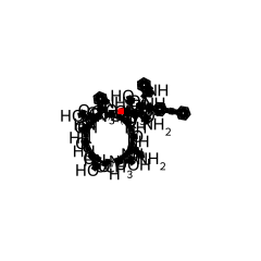 CC(CC(=O)O)C1NC(=O)[C@@H](CO)NC(=O)CNC(=O)[C@H](CC(=O)O)NC(=O)[C@@H](C)NC(=O)[C@H](CC(=O)O)NC(=O)[C@H](CCCN)NC(=O)CNC(=O)[C@@H](NC(=O)[C@H](CC(=O)O)NC(=O)[C@@H](CC(N)=O)NC(=O)[C@H](Cc2c[nH]c3ccccc23)NC(=O)c2ccc(C#Cc3ccccc3)cc2)[C@@H](C)OC(=O)[C@H](CC(=O)c2ccccc2N)NC1=O